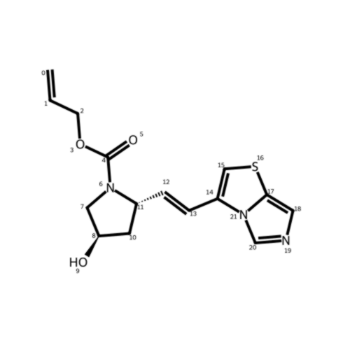 C=CCOC(=O)N1C[C@H](O)C[C@H]1/C=C/c1csc2cncn12